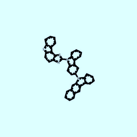 c1ccc2cc3c(cc2c1)c1ccccc1n3-c1ccc2c(c1)c1ccccc1n2-c1nc2ccc3sc4ccccc4c3c2s1